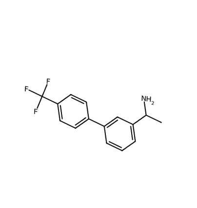 CC(N)c1cccc(-c2ccc(C(F)(F)F)cc2)c1